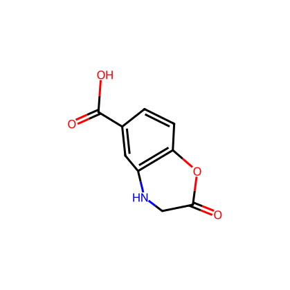 O=C1CNc2cc(C(=O)O)ccc2O1